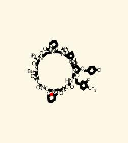 CC[C@H](C)[C@@H]1NC(=O)[C@H](CC(C)C)N(C)C(=O)C[C@@H](C(=O)N2CCCCC2)N(C)C(=O)[C@H](CC(C)C)N(C)C(=O)C2(CCCC2)NC(=O)[C@@H]2C[C@@H](OCc3ccc(Cl)cc3)CN2C(=O)[C@H](CCc2ccc(C(F)(F)F)c(F)c2)NC(=O)CN(C)C(=O)[C@H](CC2CCCCC2)N(C)C(=O)CN(C)C(=O)CN(C)C1=O